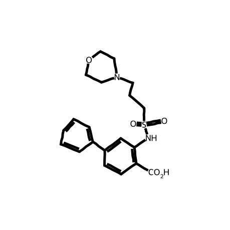 O=C(O)c1ccc(-c2ccccc2)cc1NS(=O)(=O)CCCN1CCOCC1